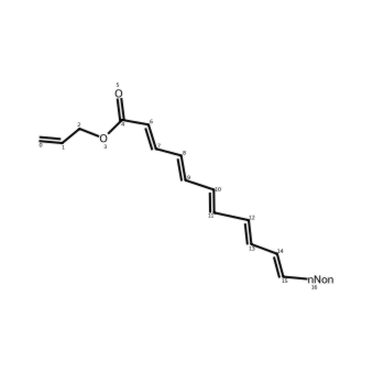 C=CCOC(=O)C=CC=CC=CC=CC=CCCCCCCCCC